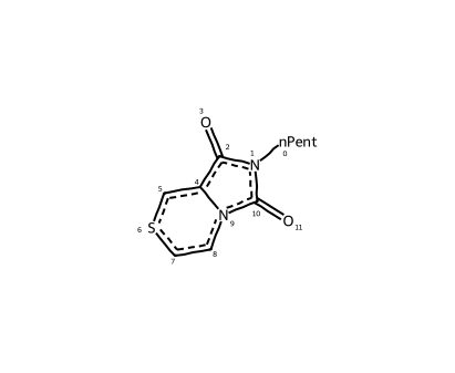 CCCCCn1c(=O)c2csccn-2c1=O